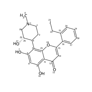 CN1CCC(c2c(O)cc(O)c3c(=O)cc(-c4ccccc4CI)oc23)[C@H](O)C1